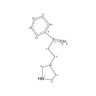 C=C(CCC1CCNC1)c1ccccc1